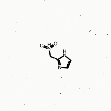 O=[SH](=O)Cc1ncc[nH]1